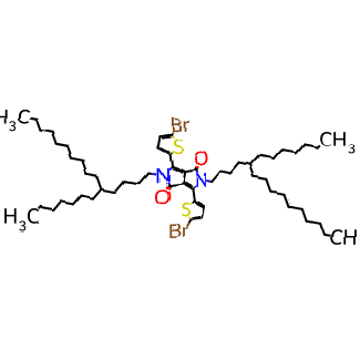 CCCCCCCCCCC(CCCCCCC)CCCCN1C(=O)C2=C(c3ccc(Br)s3)N(CCCCC(CCCCCCC)CCCCCCCCCC)C(=O)C2=C1c1ccc(Br)s1